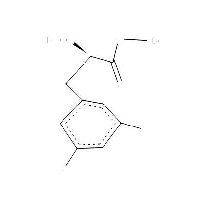 CC(C)(C)OC(=O)[C@@H](Cc1cc(F)cc(F)c1)C(=O)O